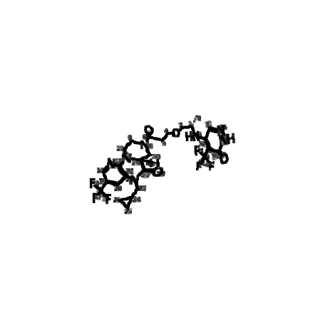 C[C@@H](COCCC(=O)N1CCN2c3ncc(C(F)(F)F)cc3N(CC3CC3)C(=O)[C@H]2C1)Nc1cn[nH]c(=O)c1C(F)(F)F